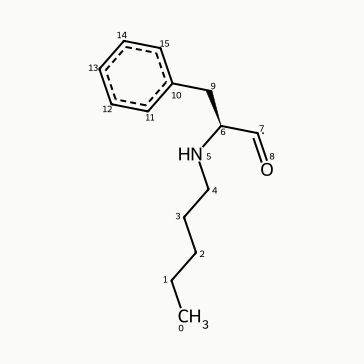 CCCCCN[C@H]([C]=O)Cc1ccccc1